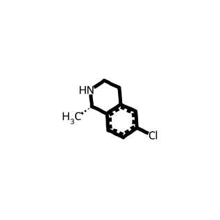 C[C@@H]1NCCc2cc(Cl)ccc21